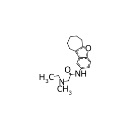 CCN(C)CC(=O)Nc1ccc2oc3c(c2c1)CCCCC3